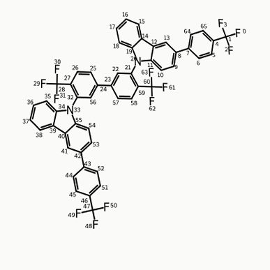 FC(F)(F)c1ccc(-c2ccc3c(c2)c2ccccc2n3-c2cc(-c3ccc(C(F)(F)F)c(-n4c5ccccc5c5cc(-c6ccc(C(F)(F)F)cc6)ccc54)c3)ccc2C(F)(F)F)cc1